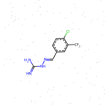 N=C(N)NN=Cc1ccc(Cl)c(C(F)(F)F)c1